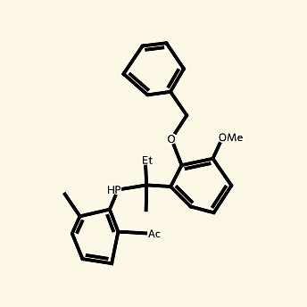 CCC(C)(Pc1c(C)cccc1C(C)=O)c1cccc(OC)c1OCc1ccccc1